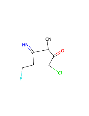 N#CC(C(=N)CCF)C(=O)CCl